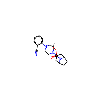 CCOC(=O)N1C2CCC1CC(N1CCN(c3ccccc3C#N)CC1)C2